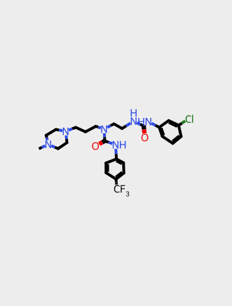 CN1CCN(CCCN(CCNC(=O)Nc2cccc(Cl)c2)C(=O)Nc2ccc(C(F)(F)F)cc2)CC1